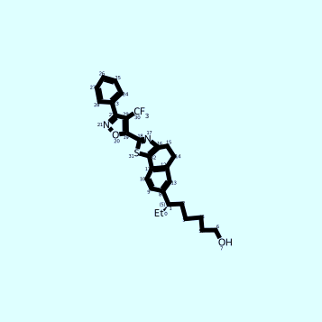 CC[C@@H](CCCCCO)c1ccc2c(c1)CCc1nc(-c3onc(-c4ccccc4)c3C(F)(F)F)sc1-2